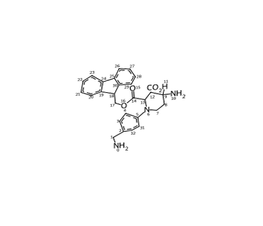 NCc1ccc(N2CCC(N)(C(=O)O)CC2C(=O)OCC2c3ccccc3-c3ccccc32)cc1